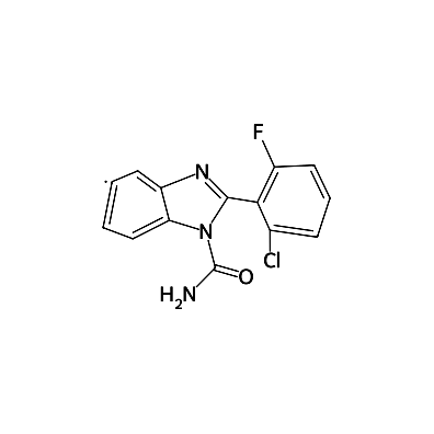 NC(=O)n1c(-c2c(F)cccc2Cl)nc2c[c]ccc21